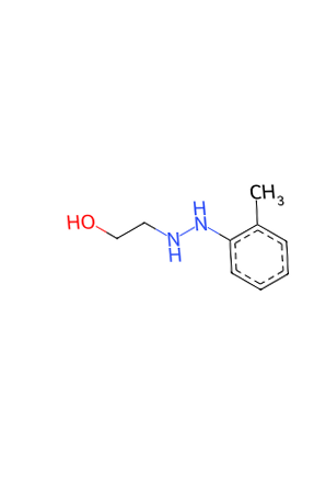 Cc1ccccc1NNCCO